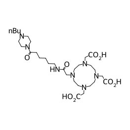 CCCCN1CCN(C(=O)CCCCCNC(=O)CN2CCN(CC(=O)O)CCN(CC(=O)O)CCN(CC(=O)O)CC2)CC1